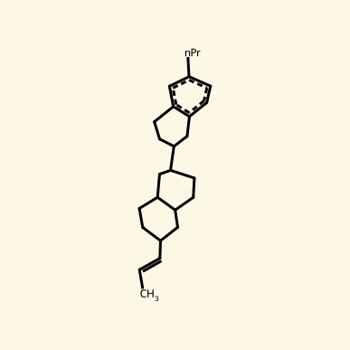 CC=CC1CCC2CC(C3CCc4cc(CCC)ccc4C3)CCC2C1